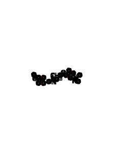 CCn1c(-c2ccc(-c3cccc4c3-c3ccccc3C43c4ccccc4-c4c3ccc3c4oc4ccccc43)cc2)nc2ccc(-c3ccc4oc5c6c(ccc5c4c3)C3(c4ccccc4-c4c(-c5nc(-c7ccccc7)c7ccccc7n5)cccc43)c3ccccc3-6)cc21